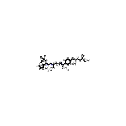 CC/C(=C\C=C(/CC(F)(F)F)c1ccco1)CO/N=C(\C)c1ccc(CNCCC(=O)O)cc1